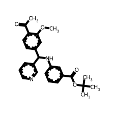 COc1cc(C(Nc2cccc(C(=O)OC(C)(C)C)c2)c2cccnc2)ccc1C(C)=O